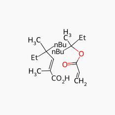 C=CC(=O)OC(C)(CC)CCCC.CCCCC(C)(C=C(C)C(=O)O)CC